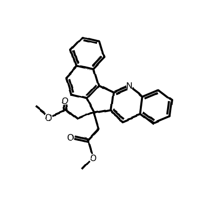 COC(=O)CC1(CC(=O)OC)c2cc3ccccc3nc2-c2c1ccc1ccccc21